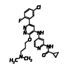 CN(C)CCCOc1nnc(-c2cc(Cl)ccc2F)cc1Nc1ccnc(NC(=O)C2CC2)c1